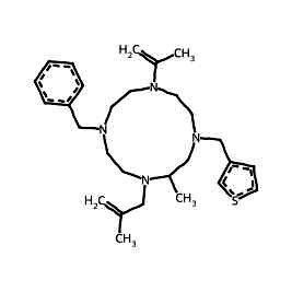 C=C(C)CN1CCN(Cc2ccccc2)CCN(C(=C)C)CCN(Cc2ccsc2)CC1C